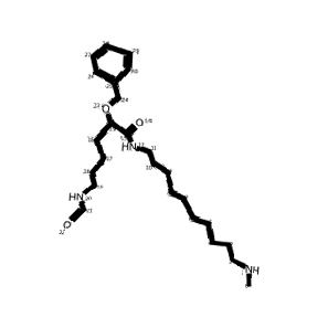 CNCCCCCCCCCCNC(=O)C(CCCCNC=O)OCc1ccccc1